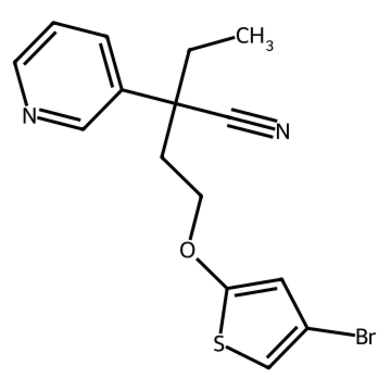 CCC(C#N)(CCOc1cc(Br)cs1)c1cccnc1